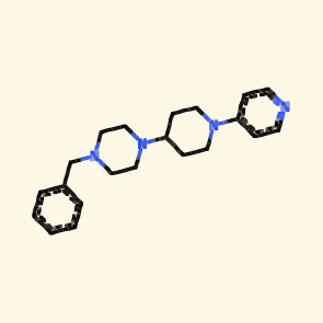 c1ccc(CN2CCN(C3CCN(c4ccncc4)CC3)CC2)cc1